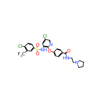 O=C(NCCN1CCCC1)c1ccc(Oc2ncc(Cl)cc2NS(=O)(=O)c2ccc(Cl)c(C(F)(F)F)c2)cc1